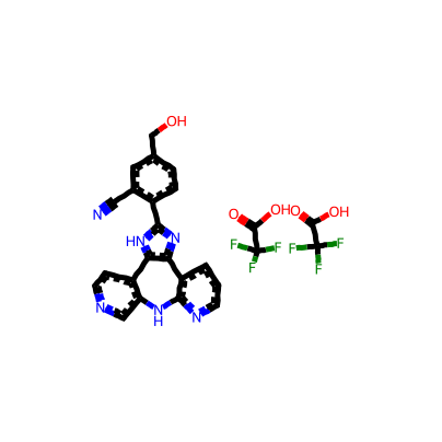 N#Cc1cc(CO)ccc1-c1nc2c([nH]1)-c1ccncc1Nc1ncccc1-2.O=C(O)C(F)(F)F.O=C(O)C(F)(F)F